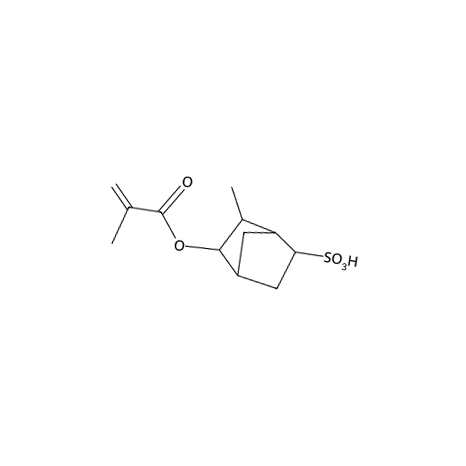 C=C(C)C(=O)OC1C2CC(C1C)C(S(=O)(=O)O)C2